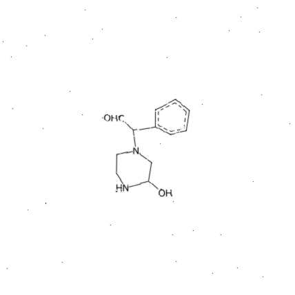 O=[C]C(c1ccccc1)N1CCNC(O)C1